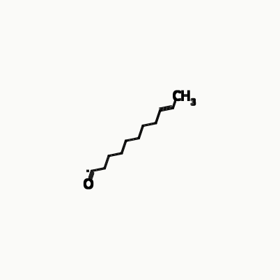 CC=CCCCCCCC[C]=O